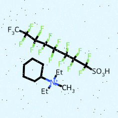 CC[N+](C)(CC)C1CCCCC1.O=S(=O)(O)C(F)(F)C(F)(F)C(F)(F)C(F)(F)C(F)(F)C(F)(F)C(F)(F)C(F)(F)F